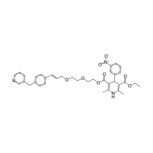 CCOC(=O)C1=C(C)NC(C)=C(C(=O)OCCOCCOCC=Cc2ccc(Cc3cccnc3)cc2)C1c1cccc([N+](=O)[O-])c1